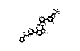 CS(=O)(=O)NCc1cc(F)cc(-c2cncc3[nH]c(-c4n[nH]c5cnc(-c6cncc(NC(=O)C7CCCC7)c6)c(F)c45)nc23)c1